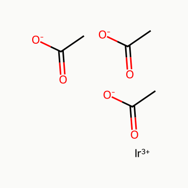 CC(=O)[O-].CC(=O)[O-].CC(=O)[O-].[Ir+3]